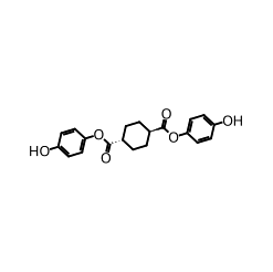 O=C(Oc1ccc(O)cc1)[C@H]1CC[C@H](C(=O)Oc2ccc(O)cc2)CC1